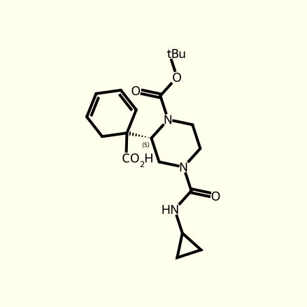 CC(C)(C)OC(=O)N1CCN(C(=O)NC2CC2)C[C@@H]1C1(C(=O)O)C=CC=CC1